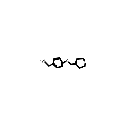 NCc1ccc(OCC2CCOCC2)cc1